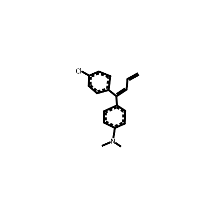 C=C/C=C(\c1ccc(Cl)cc1)c1ccc(N(C)C)cc1